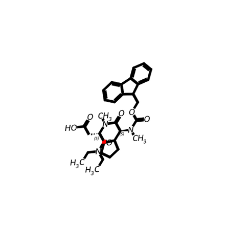 CCN(CC)C(=O)[C@H](CC(=O)O)N(C)C(=O)[C@H](C1CCCC1)N(C)C(=O)OCC1c2ccccc2-c2ccccc21